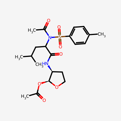 CC(=O)O[C@@H]1OCC[C@@H]1NC(=O)C(CC(C)C)N(C(C)=O)S(=O)(=O)c1ccc(C)cc1